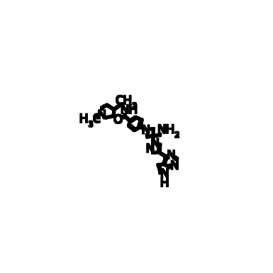 CC(NC(=O)c1ccc(N2CC(CN)(n3cc(-c4ncnc5[nH]ccc45)cn3)C2)cc1)C1CCN(C)CC1